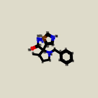 CC1CCN(Cc2ccccc2)C1(C(N)=O)c1cncs1